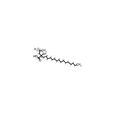 CCCCCCCCCCCCCCCCC(S)(CC(C)C)C(=O)O